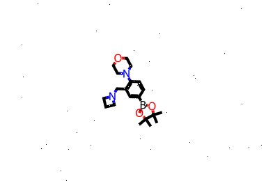 CC1(C)OB(c2ccc(N3CCOCC3)c(CN3CCC3)c2)OC1(C)C